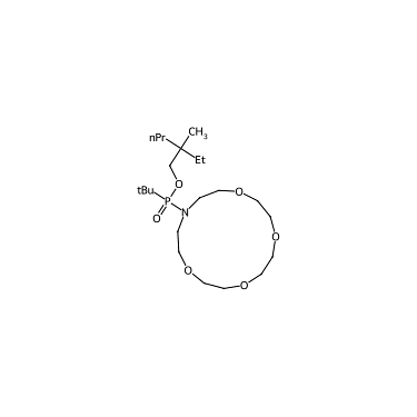 CCCC(C)(CC)COP(=O)(N1CCOCCOCCOCCOCC1)C(C)(C)C